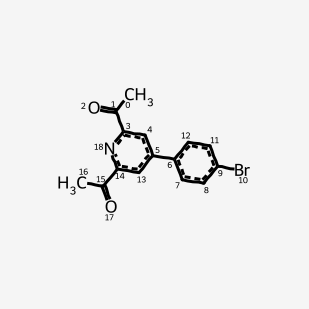 CC(=O)c1cc(-c2ccc(Br)cc2)cc(C(C)=O)n1